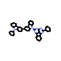 c1ccc(-c2nc3c4c(nc(-n5c6ccccc6c6cc(-c7ccc8c(c7)c7ccccc7n8-c7ccccc7)ccc65)nc4n2)-c2ccccc2-3)cc1